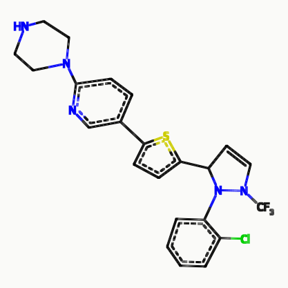 FC(F)(F)N1C=CC(c2ccc(-c3ccc(N4CCNCC4)nc3)s2)N1c1ccccc1Cl